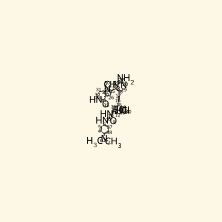 CN(C)c1ccc(NC(=O)Nc2cccc(C#Cc3cnc(N)nc3-c3cc4c(n3C)CCNC4=O)c2)cc1.Cl.Cl